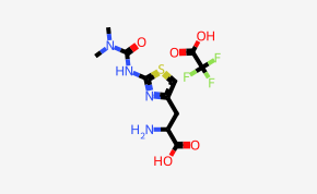 CN(C)C(=O)Nc1nc(CC(N)C(=O)O)cs1.O=C(O)C(F)(F)F